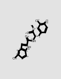 COC(=O)[C@H](Cc1ccc(Cl)c(Cl)c1)NC(=O)c1cc2cc(Cl)ccc2[nH]1